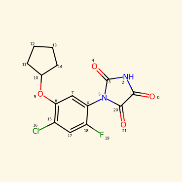 O=C1NC(=O)N(c2cc(OC3CCCC3)c(Cl)cc2F)C1=O